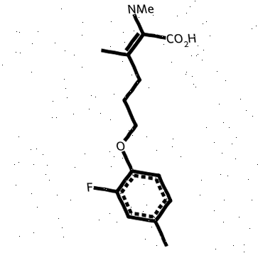 CN/C(C(=O)O)=C(\C)CCCOc1ccc(C)cc1F